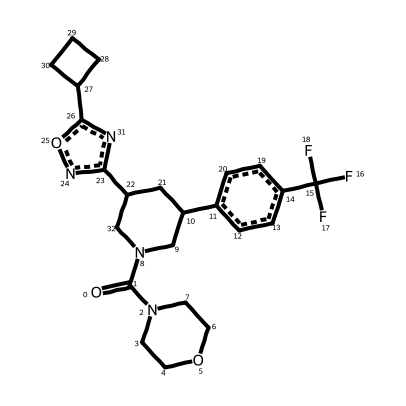 O=C(N1CCOCC1)N1CC(c2ccc(C(F)(F)F)cc2)CC(c2noc(C3CCC3)n2)C1